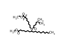 CCCCCCCCCCC(CCCCCCC(=O)OC)N(CCCCCCC(F)(F)C(=O)OCC)C(=O)CCCN(C)C